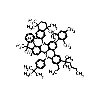 CCCCC(C)(C)c1cc2c(cc1CC)N(c1ccc(C(C)(C)C)cc1)B1c3ccc4c(c3N(c3cc5c(cc3C)C(C)(C)CCC5(C)C)c3cc(-c5c(C)cc(C)cc5C)cc-2c31)-c1ccccc1C4(C)C